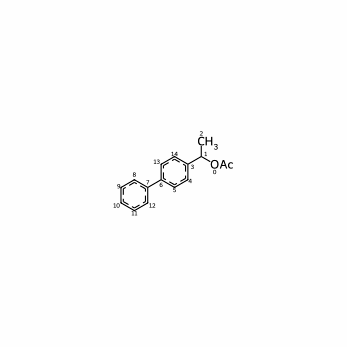 CC(=O)OC(C)c1ccc(-c2ccccc2)cc1